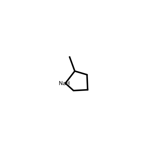 CC1CCCC1.[NaH]